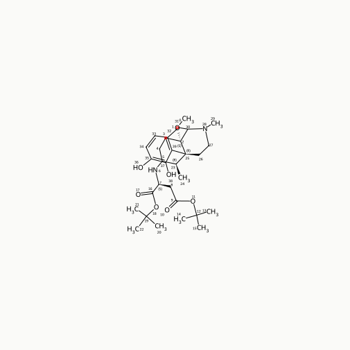 CO[C@@]12CCC(N[C@@H](CC(=O)OC(C)(C)C)C(=O)OC(C)(C)C)[C@H](C)[C@@]13CCN(C)C2Cc1ccc(O)c(O)c13